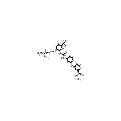 CNC(=O)c1cc(Oc2cccc(NC(=O)Nc3cc(C(F)(F)F)ccc3OCCNC(C)C)c2)ccn1